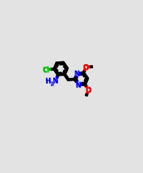 COc1cc(OC)nc(Cc2cccc(Cl)c2N)n1